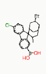 CCC1CC2CC(C)C3(c4ccc(Cl)cc4-c4ccc(B(O)O)cc43)C(C1)C2